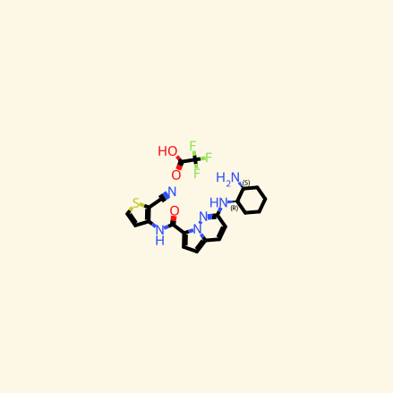 N#Cc1sccc1NC(=O)c1ccc2ccc(N[C@@H]3CCCC[C@@H]3N)nn12.O=C(O)C(F)(F)F